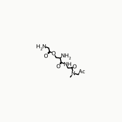 CC(=O)CN(C)C(=O)CNC(=O)[C@H](N)COC(=O)CN